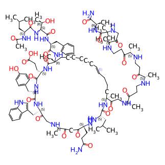 CC(=O)N[C@@H](CC(C)C)C(=O)N[C@H](C(=O)N[C@@H](Cc1ccccc1)C(=O)N[C@]1(C)CCCCCC/C=C/CCC[C@@](C)(C(=O)CN[C@@H](C)C(=O)CCN[C@@H](C)C(=O)CCN[C@@H](C)C(=O)CCN[C@@H](C)C(=O)CNC(C)(C)C(=O)N[C@H](C)C(N)=O)NC(=O)[C@H](CC(C)C)NN[C@@H](CCC(N)=O)C(=O)CC(=O)[C@H](C)NCC(=O)[C@H](Cc2c[nH]c3ccccc23)NC(=O)[C@H](Cc2ccc(O)cc2)NC(=O)[C@H](CCC(=O)O)NC1=O)[C@@H](C)O